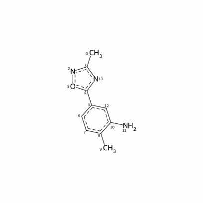 Cc1noc(-c2ccc(C)c(N)c2)n1